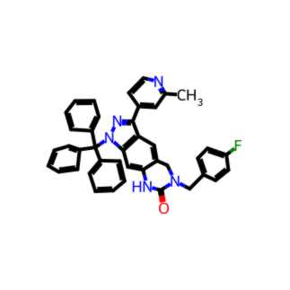 Cc1cc(-c2nn(C(c3ccccc3)(c3ccccc3)c3ccccc3)c3cc4c(cc23)CN(Cc2ccc(F)cc2)C(=O)N4)ccn1